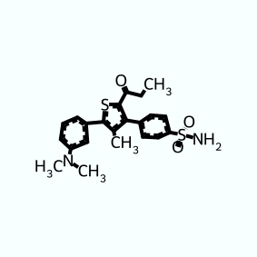 CCC(=O)c1sc(-c2cccc(N(C)C)c2)c(C)c1-c1ccc(S(N)(=O)=O)cc1